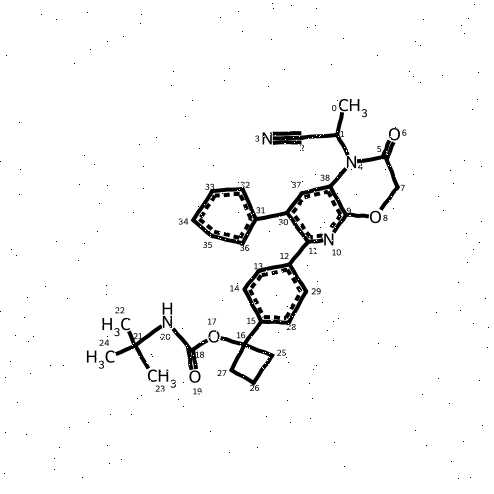 CC(C#N)N1C(=O)COc2nc(-c3ccc(C4(OC(=O)NC(C)(C)C)CCC4)cc3)c(-c3ccccc3)cc21